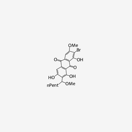 CCCCCC(OC)c1c(O)cc2c(c1O)C(=O)c1c(cc(OC)c(Br)c1O)C2=O